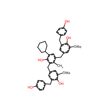 COc1cc(Cc2cc(C3CCCCC3)c(O)c(Cc3cc(Cc4ccc(O)cc4)c(O)c(OC)c3)c2C)cc(Cc2ccc(O)cc2)c1O